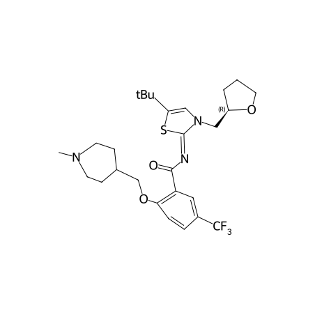 CN1CCC(COc2ccc(C(F)(F)F)cc2C(=O)N=c2sc(C(C)(C)C)cn2C[C@H]2CCCO2)CC1